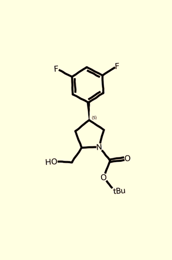 CC(C)(C)OC(=O)N1C[C@H](c2cc(F)cc(F)c2)CC1CO